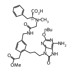 CCCCOc1nc(N)c2[nH]c(=O)n(CCCc3cc(CNC(=O)CN(C)[C@@H](Cc4ccccc4)C(=O)O)ccc3CC(=O)OC)c2n1